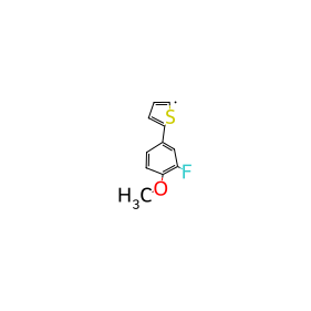 COc1ccc(-c2cc[c]s2)cc1F